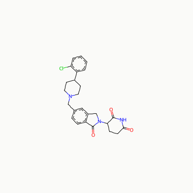 O=C1CCC(N2Cc3cc(CN4CCC(c5ccccc5Cl)CC4)ccc3C2=O)C(=O)N1